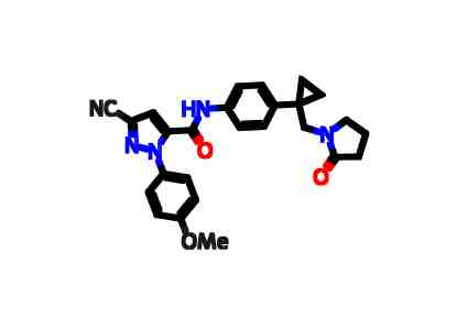 COc1ccc(-n2nc(C#N)cc2C(=O)Nc2ccc(C3(CN4CCCC4=O)CC3)cc2)cc1